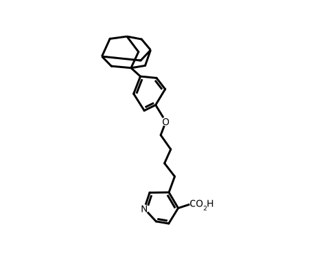 O=C(O)c1ccncc1CCCCOc1ccc(C23CC4CC(CC(C4)C2)C3)cc1